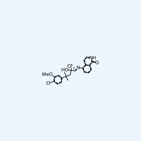 COc1cc(C(C)(C)CC(O)(C=Nc2cccc3c(=O)[nH]ccc23)C(F)(F)F)ccc1Cl